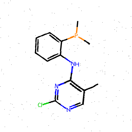 Cc1cnc(Cl)nc1Nc1ccccc1P(C)C